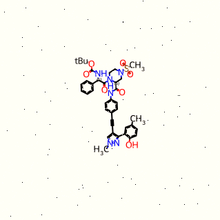 Cc1ccc(O)c(-c2nn(C)cc2C#Cc2ccc(NC(=O)[C@@H]3CN(S(C)(=O)=O)CCN3C(=O)[C@@H](NC(=O)OC(C)(C)C)c3ccccc3)cc2)c1